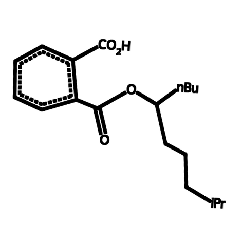 CCCCC(CCCC(C)C)OC(=O)c1ccccc1C(=O)O